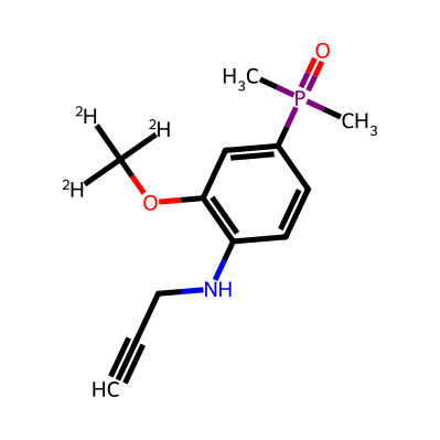 [2H]C([2H])([2H])Oc1cc(P(C)(C)=O)ccc1NCC#C